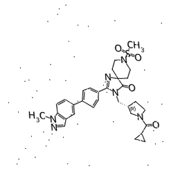 Cn1ncc2cc(-c3ccc(C4=NC5(CCN(S(C)(=O)=O)CC5)C(=O)N4C[C@@H]4CCN(C(=O)C5CC5)C4)cc3)ccc21